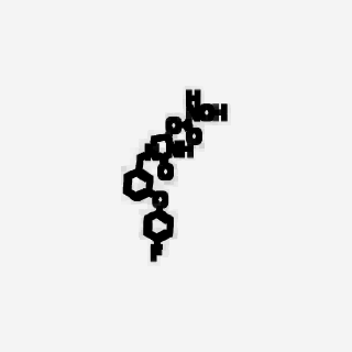 O=C(NO)O[C@@H]1CN(Cc2cccc(Oc3ccc(F)cc3)c2)C(=O)N1